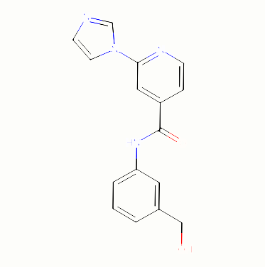 O=C(Nc1cccc(CO)c1)c1ccnc(-n2ccnc2)c1